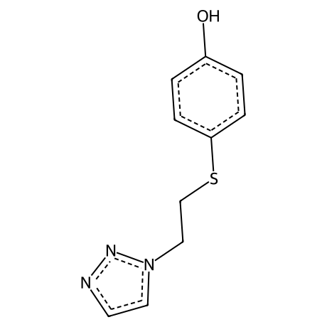 Oc1ccc(SCCn2ccnn2)cc1